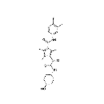 Cc1cc(NC(=O)c2c(C)c(C(=O)C(=O)N[C@H]3CC[C@H](O)CC3)n(C)c2C)ccc1F